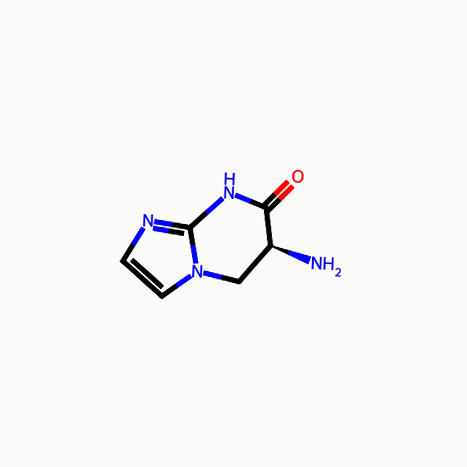 N[C@H]1Cn2ccnc2NC1=O